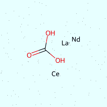 O=C(O)O.[Ce].[La].[Nd]